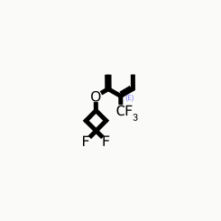 C=C(OC1CC(F)(F)C1)/C(=C\C)C(F)(F)F